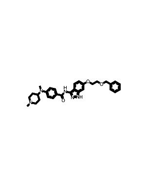 CN1CCC(N(C)c2ccc(C(=O)Nc3n[nH]c4cc(OCCOCc5ccccc5)ccc34)cc2)CC1